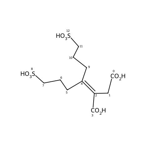 O=C(O)CC(C(=O)O)=C(CCCS(=O)(=O)O)CCCS(=O)(=O)O